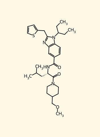 CCC(CC)n1c(Cc2cccs2)nc2cc(C(=O)N[C@@H](CC(C)C)C(=O)N3CCC(COC)CC3)ccc21